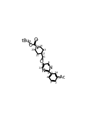 CC(=O)c1cccc(-c2ncc(OCC3CCN(C(=O)OC(C)(C)C)CC3)cn2)c1